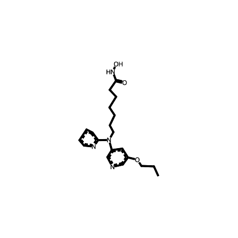 CCCOc1cncc(N(CCCCCCC(=O)NO)c2ccccn2)c1